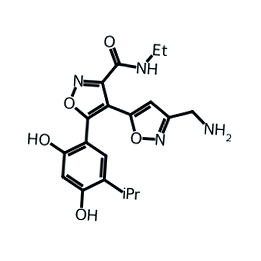 CCNC(=O)c1noc(-c2cc(C(C)C)c(O)cc2O)c1-c1cc(CN)no1